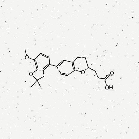 COc1ccc(-c2ccc3c(c2)CCC(CCC(=O)O)O3)c2c1OC(C)(C)C2